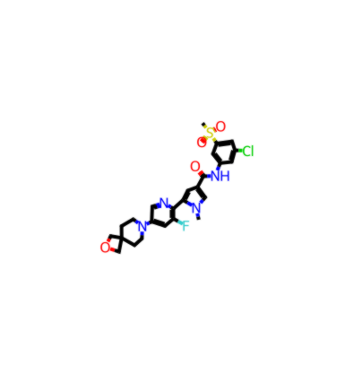 Cn1cc(C(=O)Nc2cc(Cl)cc(S(C)(=O)=O)c2)cc1-c1ncc(N2CCC3(CC2)COC3)cc1F